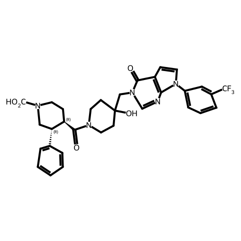 O=C(O)N1CC[C@@H](C(=O)N2CCC(O)(Cn3cnc4c(ccn4-c4cccc(C(F)(F)F)c4)c3=O)CC2)[C@H](c2ccccc2)C1